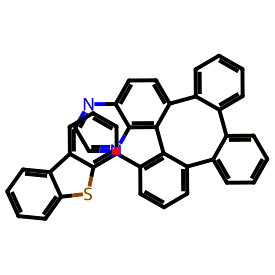 c1ccc2c(c1)-c1ccccc1-c1ccc3nccnc3c1-c1c-2cccc1-c1cccc2c1sc1ccccc12